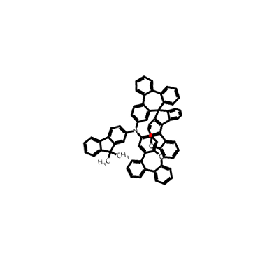 CC1(C)c2ccccc2-c2ccc(N(c3ccc4c(c3)-c3ccccc3-c3ccccc3O4)c3ccc4c(c3)C3(c5ccccc5-c5ccccc5-4)c4ccccc4-c4c3ccc3oc5ccccc5c43)cc21